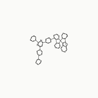 c1ccc(-c2ccc(-c3cc(-c4ccc(-c5cccc6c5-c5ccccc5C65c6ccccc6-c6oc7ccccc7c65)cc4)nc(-c4ccccc4)n3)cc2)cc1